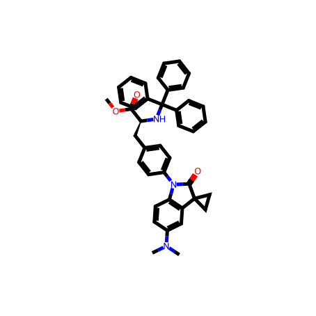 COC(=O)[C@H](Cc1ccc(N2C(=O)C3(CC3)c3cc(N(C)C)ccc32)cc1)NC(c1ccccc1)(c1ccccc1)c1ccccc1